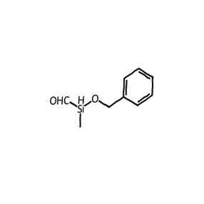 C[SiH](C=O)OCc1ccccc1